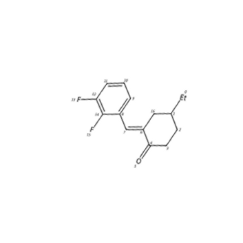 CCC1CCC(=O)C(=Cc2cccc(F)c2F)C1